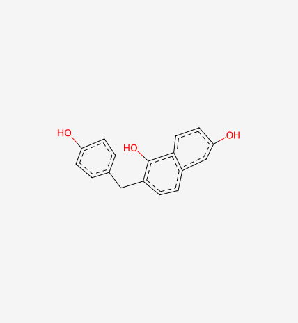 Oc1ccc(Cc2ccc3cc(O)ccc3c2O)cc1